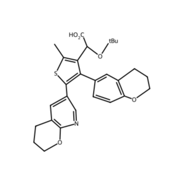 Cc1sc(-c2cnc3c(c2)CCCO3)c(-c2ccc3c(c2)CCCO3)c1C(OC(C)(C)C)C(=O)O